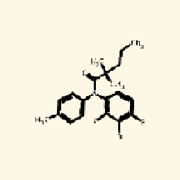 CCCC(C)(C)C(=O)N(c1ccc(C)cc1)c1ccc(F)[c]([Ti])c1F